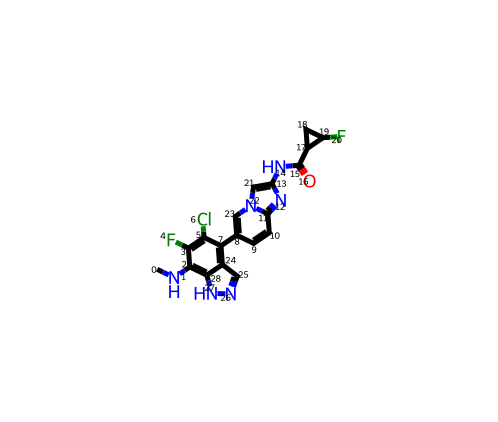 CNc1c(F)c(Cl)c(-c2ccc3nc(NC(=O)C4CC4F)cn3c2)c2cn[nH]c12